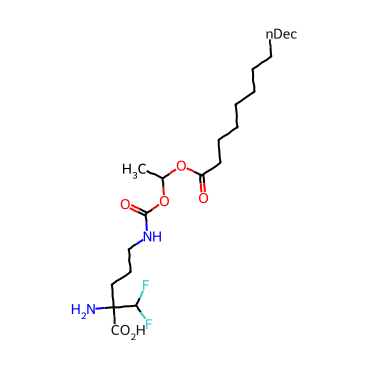 CCCCCCCCCCCCCCCCCC(=O)OC(C)OC(=O)NCCCC(N)(C(=O)O)C(F)F